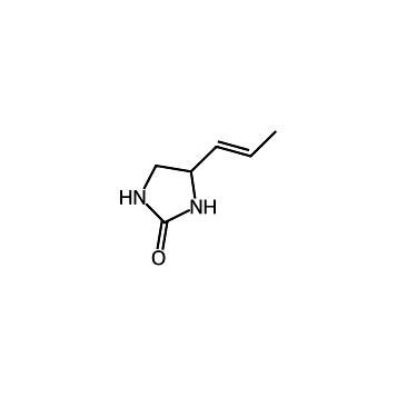 CC=CC1CNC(=O)N1